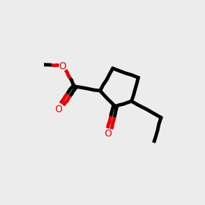 CCC1CCC(C(=O)OC)C1=O